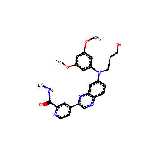 CNC(=O)c1cc(-c2cnc3ccc(N(CCCO)c4cc(OC)cc(OC)c4)cc3n2)ccn1